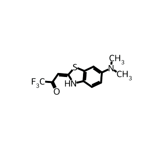 CN(C)c1ccc2c(c1)S/C(=C/C(=O)C(F)(F)F)N2